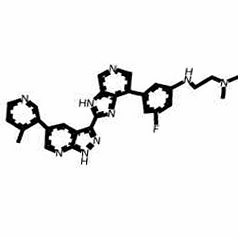 Cc1ccncc1-c1cnc2[nH]nc(-c3nc4c(-c5cc(F)cc(NCCN(C)C)c5)cncc4[nH]3)c2c1